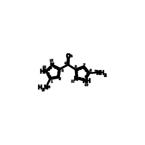 Nc1cc(C(=O)c2cc(N)[nH]n2)n[nH]1